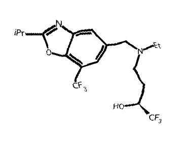 CCN(CC[C@H](O)C(F)(F)F)Cc1cc(C(F)(F)F)c2oc(C(C)C)nc2c1